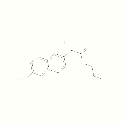 C.COc1ccc2cc(CC(=O)OCCCl)ccc2c1